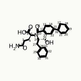 NC(=O)CC[C@@H](C(=O)O)N(C(=O)c1ccc(-c2ccccc2)cc1)[C@H](CO)Cc1ccccc1